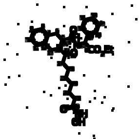 CCOC(=O)C(NC(=O)[C@@H]1Cc2ccccc2CN1C(=O)CCCCCCC(=O)NO)c1ccccc1